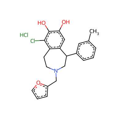 Cc1cccc(C2CN(Cc3ccco3)CCc3c2cc(O)c(O)c3Cl)c1.Cl